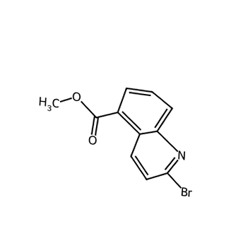 COC(=O)c1cccc2nc(Br)ccc12